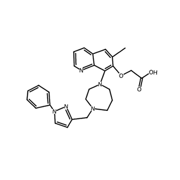 Cc1cc2cccnc2c(N2CCCN(Cc3ccn(-c4ccccc4)n3)CC2)c1OCC(=O)O